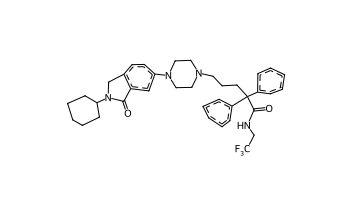 O=C1c2cc(N3CCN(CCCC(C(=O)NCC(F)(F)F)(c4ccccc4)c4ccccc4)CC3)ccc2CN1C1CCCCC1